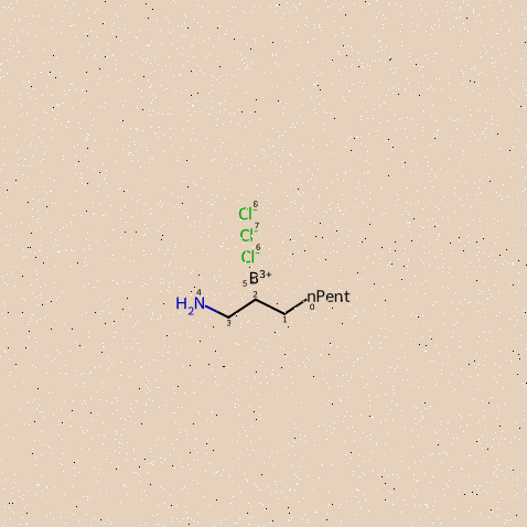 CCCCCCCCN.[B+3].[Cl-].[Cl-].[Cl-]